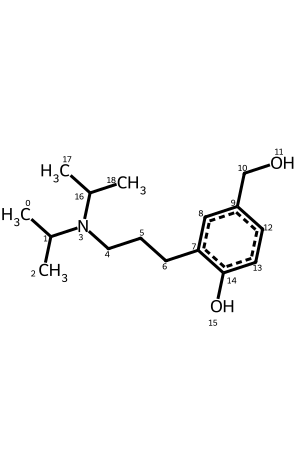 CC(C)N(CCCc1cc(CO)ccc1O)C(C)C